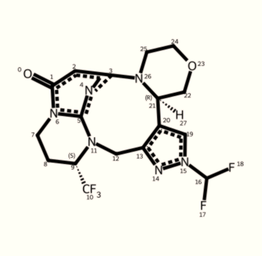 O=c1cc2nc3n1CC[C@@H](C(F)(F)F)N3Cc1nn(C(F)F)cc1[C@@H]1COCCN21